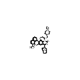 CCN1CCN(C[C@H]2COc3c(-c4cccc5ccc(O)cc45)c(Cl)cc4c(N5CC6CCC(C5)N6)nc(=O)n2c34)CC1